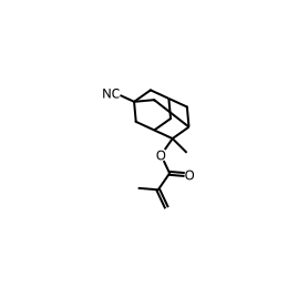 C=C(C)C(=O)OC1(C)C2CC3CC1CC(C#N)(C3)C2